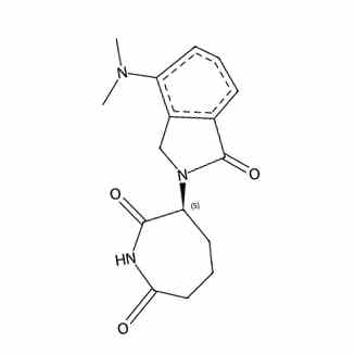 CN(C)c1cccc2c1CN([C@H]1CCCC(=O)NC1=O)C2=O